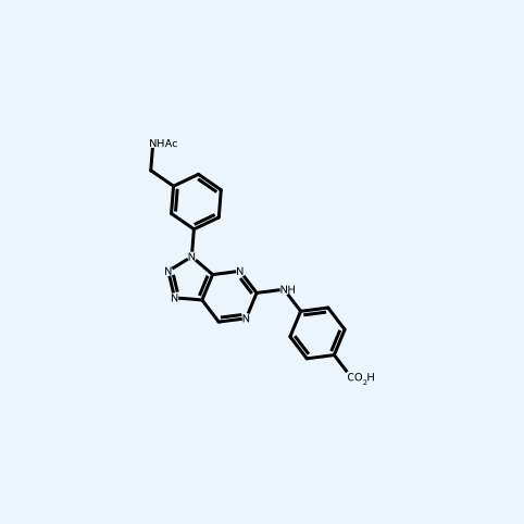 CC(=O)NCc1cccc(-n2nnc3cnc(Nc4ccc(C(=O)O)cc4)nc32)c1